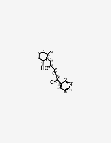 CC1CCCC(C)N1CC(O)CO/N=C(\Cl)c1cccnc1